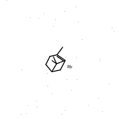 CC1=C2CC(CC1)C2(C)C.[Rb]